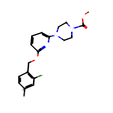 CC(C)(C)OC(=O)N1CCN(c2cccc(OCc3ccc(C=O)cc3F)n2)CC1